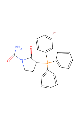 NC(=O)N1CCC([P+](c2ccccc2)(c2ccccc2)c2ccccc2)C1=O.[Br-]